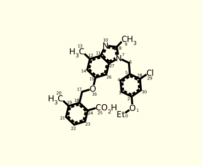 CCOc1ccc(Cn2c(C)nc3c(C)cc(OCc4c(C)cccc4C(=O)O)cc32)c(Cl)c1